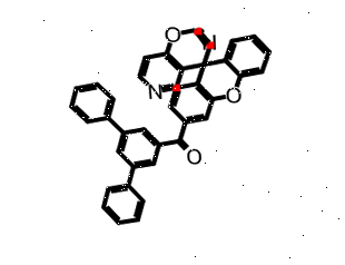 O=C(c1cc(-c2ccccc2)cc(-c2ccccc2)c1)c1ccc2c(c1)Oc1ccccc1C21c2cnccc2Oc2ccncc21